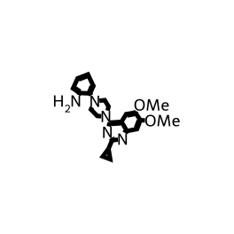 COc1cc2nc(C3CC3)nc(N3CCN(c4ccccc4N)CC3)c2cc1OC